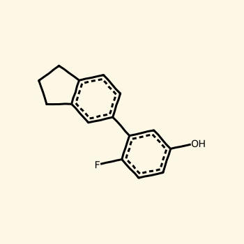 Oc1ccc(F)c(-c2ccc3c(c2)CCC3)c1